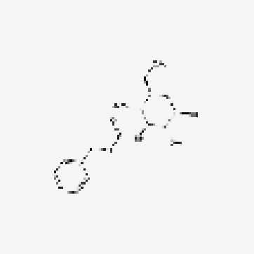 CC(=O)OC[C@H]1O[C@@H](O)[C@H](OC(C)=O)[C@@H](NC(=O)OCc2ccccc2)[C@@H]1OC(C)=O